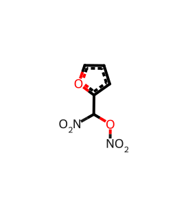 O=[N+]([O-])OC(c1ccco1)[N+](=O)[O-]